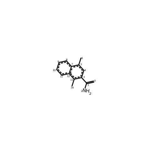 C=C(N)c1cc(C)c2ccccc2c1C